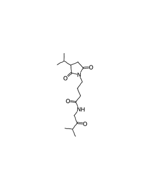 CC(C)C(=O)CNC(=O)CCCN1C(=O)CC(C(C)C)C1=O